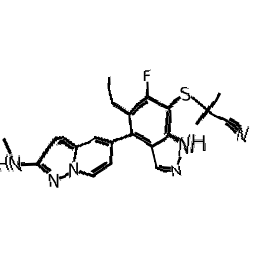 CCc1c(F)c(SC(C)(C)C#N)c2[nH]ncc2c1-c1ccn2nc(NC)cc2c1